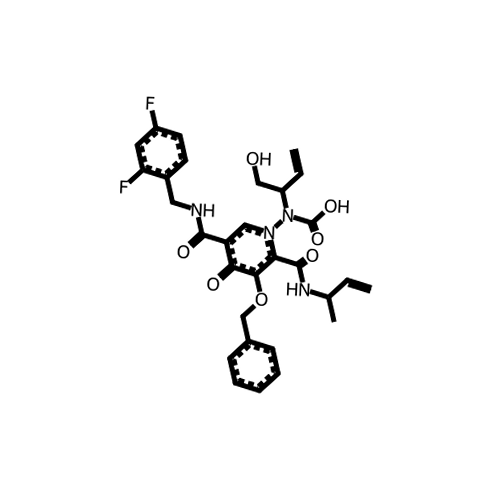 C=CC(C)NC(=O)c1c(OCc2ccccc2)c(=O)c(C(=O)NCc2ccc(F)cc2F)cn1N(C(=O)O)C(C=C)CO